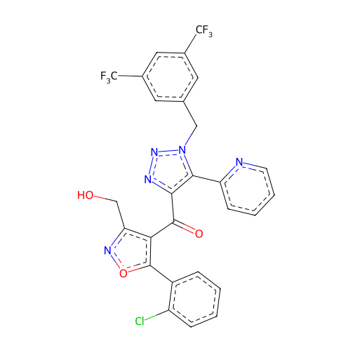 O=C(c1nnn(Cc2cc(C(F)(F)F)cc(C(F)(F)F)c2)c1-c1ccccn1)c1c(CO)noc1-c1ccccc1Cl